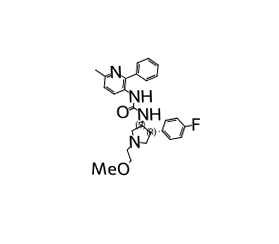 COCCN1C[C@@H](NC(=O)Nc2ccc(C)nc2-c2ccccc2)[C@H](c2ccc(F)cc2)C1